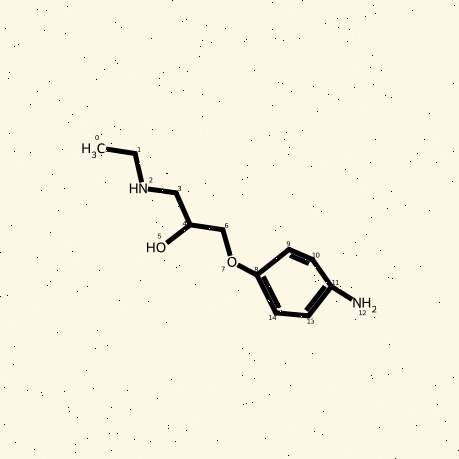 CCNCC(O)COc1ccc(N)cc1